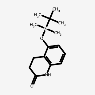 CC(C)(C)[Si](C)(C)Oc1cccc2c1CCC(=O)N2